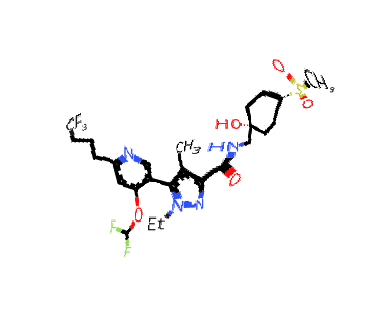 CCn1nc(C(=O)NC[C@]2(O)CC[C@@H](S(C)(=O)=O)CC2)c(C)c1-c1cnc(CCCC(F)(F)F)cc1OC(F)F